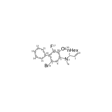 C=CCN(C)c1[c]c(Br)c(-c2ccccc2)c(F)c1OCCCCCC